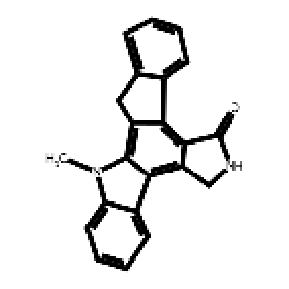 Cn1c2ccccc2c2c3c(c4c(c21)Cc1ccccc1-4)C(=O)NC3